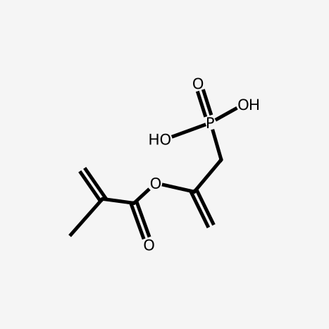 C=C(CP(=O)(O)O)OC(=O)C(=C)C